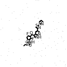 CCCS(=O)(=O)Nc1ccc(F)c(C(=O)c2c[nH]c3ncc(-c4csc(-n5cccn5)n4)cc23)c1F